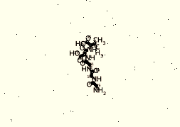 CC(C)[C@H](NC(=O)[C@@H](NC(=O)CNC(=O)CNC(=O)CN)[C@@H](C)O)C(=O)O